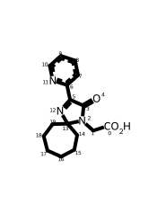 O=C(O)CN1C(=O)C(c2ccccn2)=NC12CCCCCC2